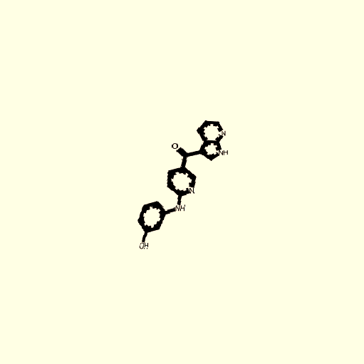 O=C(c1ccc(Nc2cccc(O)c2)nc1)c1c[nH]c2ncccc12